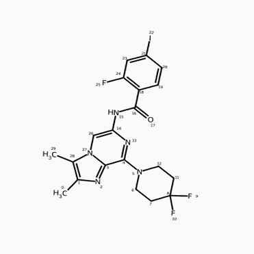 Cc1nc2c(N3CCC(F)(F)CC3)nc(NC(=O)c3ccc(I)cc3F)cn2c1C